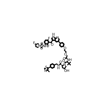 Cc1ncsc1-c1ccc(CNC(=O)[C@@H]2C[C@@H](O)CN2C(=O)[C@@H](NC(=O)COCCOc2ccc(-c3cnc4[nH]cc(C(=O)c5c(F)ccc(NS(=O)(=O)N6CC[C@@H](F)C6)c5F)c4c3)cc2)C(C)(C)C)cc1